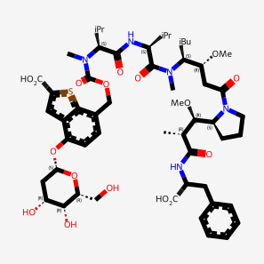 CCC(C)[C@@H]([C@@H](CC(=O)N1CCC[C@H]1[C@H](OC)[C@@H](C)C(=O)NC(Cc1ccccc1)C(=O)O)OC)N(C)C(=O)[C@@H](NC(=O)[C@H](C(C)C)N(C)C(=O)OCc1ccc(O[C@H]2C[C@@H](O)[C@@H](O)[C@@H](CO)O2)c2cc(C(=O)O)sc12)C(C)C